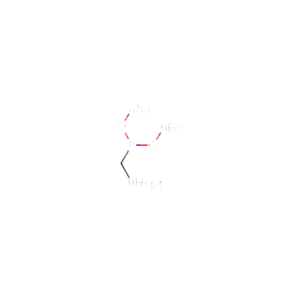 CCCCCCCCP(OCCCC)OCCCC